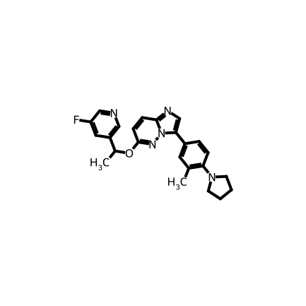 Cc1cc(-c2cnc3ccc(OC(C)c4cncc(F)c4)nn23)ccc1N1CCCC1